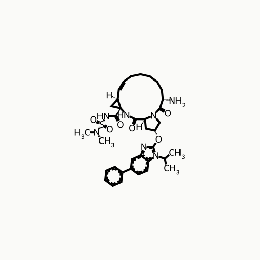 CC(C)n1c(O[C@@H]2C[C@H]3C(=O)N[C@]4(C(=O)NS(=O)(=O)N(C)C)C[C@H]4/C=C\CCCCC[C@H](N)C(=O)N3C2)nc2cc(-c3ccccc3)ccc21